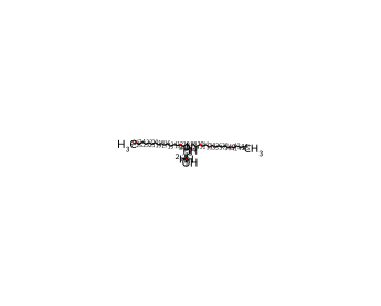 [2H]C([2H])(O)CCC([2H])([2H])N(CCCCCCCCCCCCCCCCCC)CCCCCCCCCCCCCCCCCC